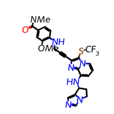 CNC(=O)c1ccc(NCC#Cc2nc3c(N[C@H]4CCn5cncc54)cccn3c2SC(F)(F)F)c(OC)c1